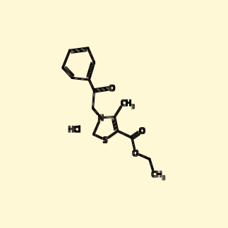 CCOC(=O)C1=C(C)N(CC(=O)c2ccccc2)CS1.Cl